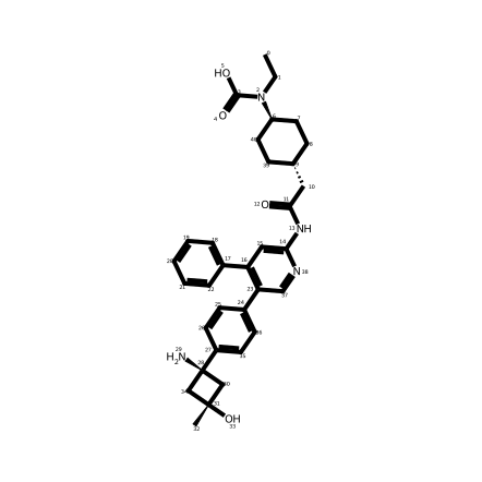 CCN(C(=O)O)[C@H]1CC[C@H](CC(=O)Nc2cc(-c3ccccc3)c(-c3ccc([C@]4(N)C[C@](C)(O)C4)cc3)cn2)CC1